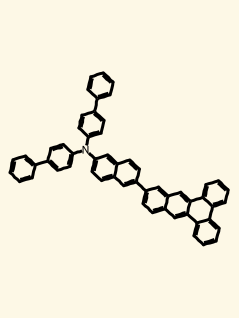 c1ccc(-c2ccc(N(c3ccc(-c4ccccc4)cc3)c3ccc4cc(-c5ccc6cc7c8ccccc8c8ccccc8c7cc6c5)ccc4c3)cc2)cc1